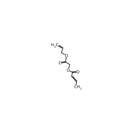 C=CCOC(=O)COC(=O)C=CC